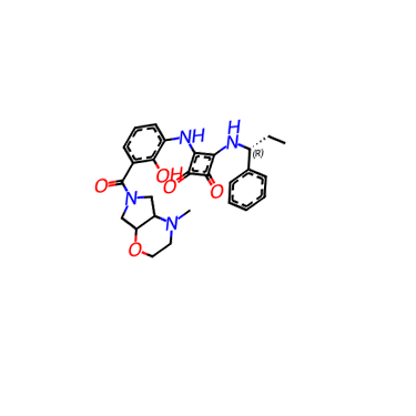 CC[C@@H](Nc1c(Nc2cccc(C(=O)N3CC4OCCN(C)C4C3)c2O)c(=O)c1=O)c1ccccc1